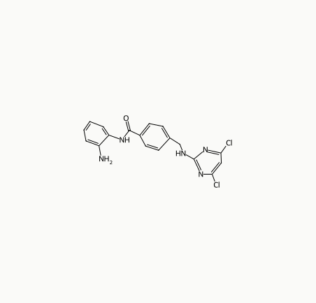 Nc1ccccc1NC(=O)c1ccc(CNc2nc(Cl)cc(Cl)n2)cc1